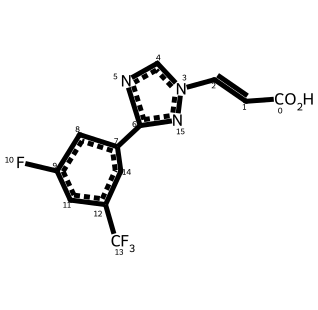 O=C(O)C=Cn1cnc(-c2cc(F)cc(C(F)(F)F)c2)n1